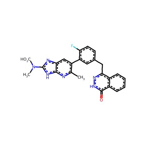 Cc1nc2[nH]c(N(C)C(=O)O)nc2cc1-c1cc(Cc2n[nH]c(=O)c3ccccc23)ccc1F